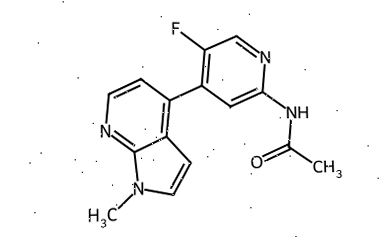 CC(=O)Nc1cc(-c2ccnc3c2ccn3C)c(F)cn1